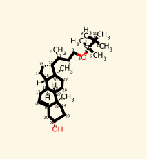 C[C@H](CCO[Si](C)(C)C(C)(C)C)[C@H]1CC[C@H]2[C@@H]3CC=C4C[C@@H](O)CC[C@]4(C)[C@H]3CC[C@]12C